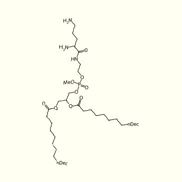 CCCCCCCCCCCCCCCCCC(=O)OCC(COP(=O)(OC)OCCNC(=O)C(N)CCCN)OC(=O)CCCCCCCCCCCCCCCCC